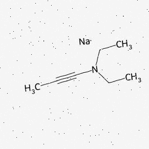 CC#CN(CC)CC.[Na]